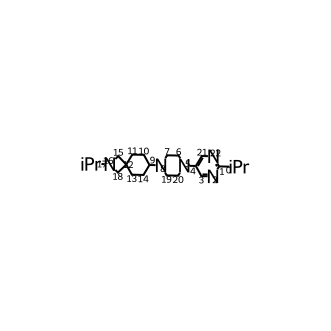 CC(C)c1ncc(N2CCN(C3CCC4(CC3)CN(C(C)C)C4)CC2)cn1